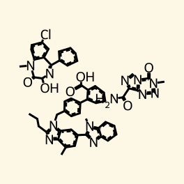 CCCc1nc2c(C)cc(-c3nc4ccccc4n3C)cc2n1Cc1ccc(-c2ccccc2C(=O)O)cc1.CN1C(=O)C(O)N=C(c2ccccc2)c2cc(Cl)ccc21.Cn1nnc2c(C(N)=O)ncn2c1=O